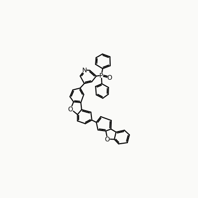 O=P(c1ccccc1)(c1ccccc1)c1cncc(-c2ccc3oc4ccc(-c5ccc6c(c5)oc5ccccc56)cc4c3c2)c1